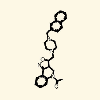 CC(=O)N1CC2C(=NOC2CN2CCN(Cc3ccc4ccccc4c3)CC2)c2ccccc21